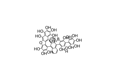 Bc1c(O)c(-c2c(O)c(O)c(O)c(O)c2O)c(O)c(O)c1-c1c2ccccc2c(-c2c(O)c(O)c(O)c3oc4c(O)c5c(O)c(O)c(O)c(O)c5c(O)c4c23)c2ccccc12